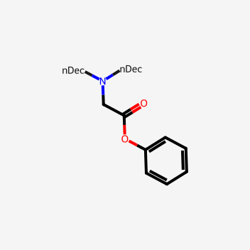 CCCCCCCCCCN(CCCCCCCCCC)CC(=O)Oc1ccccc1